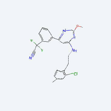 COc1nc(NCCc2ccc(C)cc2Cl)cc(-c2cccc(C(F)(F)C#N)c2)n1